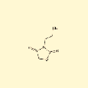 CC(C)(C)CCN1C(=O)COC1=O